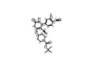 CC(C)(C)OC(=O)N1CCC(OC2=C(C#N)N(c3ccc(C#N)c(F)c3)NC(=O)C2)CC1